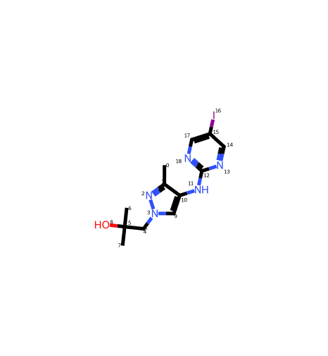 Cc1nn([CH]C(C)(C)O)cc1Nc1ncc(I)cn1